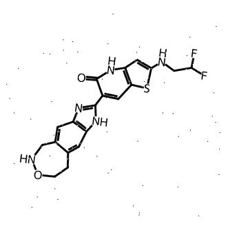 O=c1[nH]c2cc(NCC(F)F)sc2cc1-c1nc2cc3c(cc2[nH]1)CCONC3